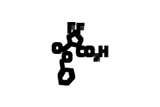 O=C(O)C1CC(F)(F)CC1C(=O)OCc1ccccc1